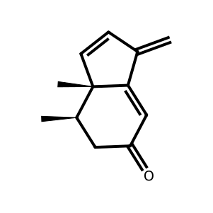 C=C1C=C[C@]2(C)C1=CC(=O)C[C@H]2C